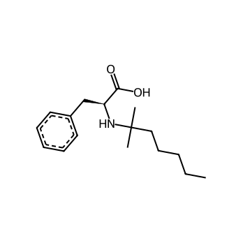 CCCCCC(C)(C)N[C@@H](Cc1ccccc1)C(=O)O